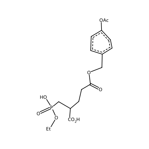 CCOP(=O)(O)CC(CCC(=O)OCc1ccc(OC(C)=O)cc1)C(=O)O